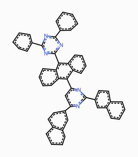 c1ccc(-c2nc(-c3ccccc3)nc(-c3c4ccccc4c(-c4cc(-c5ccc6ccccc6c5)nc(-c5ccc6ccccc6c5)n4)c4ccccc34)n2)cc1